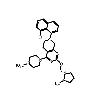 CCc1cccc2cccc(N3CCc4c(nc(OC[C@@H]5CCCN5C)nc4N4CCN(C(=O)O)CC4)C3)c12